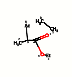 CC.CCOC(=O)C(C)C(C)=O